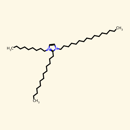 CCCCCCCCCCCCCCCCn1cc[n+](CCCCCCCCC)c1CCCCCCCCCCCCC